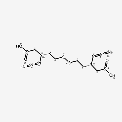 [N-]=[N+]=N[C@@H](CCSSCC[C@@H](CS(=O)O)N=[N+]=[N-])CS(=O)O